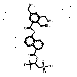 BCc1cc(CB)c(CB)c(C(=O)Oc2cccc3c(C(=O)OC(CS(=O)(=O)O)C(F)(F)F)cccc23)c1